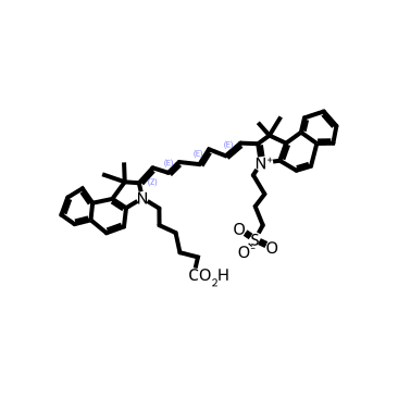 CC1(C)C(/C=C/C=C/C=C/C=C2\N(CCCCCC(=O)O)c3ccc4ccccc4c3C2(C)C)=[N+](CCCCS(=O)(=O)[O-])c2ccc3ccccc3c21